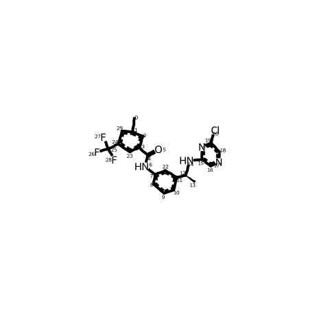 Cc1cc(C(=O)Nc2cccc([C@H](C)Nc3cncc(Cl)n3)c2)cc(C(F)(F)F)c1